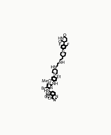 CCc1cc(Nc2ncc(Br)c(Nc3ccc4ncncc4c3P(C)(C)=O)n2)c(OC)cc1N1CCC(NCCNCCC2CCN(c3cc(F)c(C4CCC(=O)NC4=O)c(F)c3)CC2)CC1